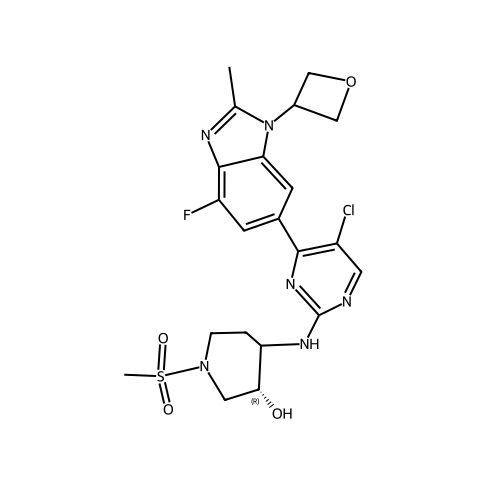 Cc1nc2c(F)cc(-c3nc(NC4CCN(S(C)(=O)=O)C[C@H]4O)ncc3Cl)cc2n1C1COC1